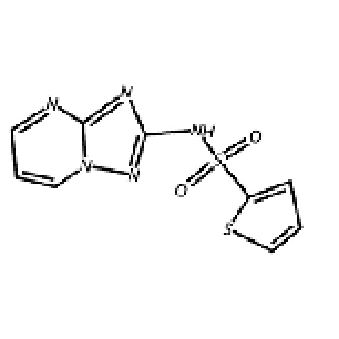 O=S(=O)(Nc1nc2ncccn2n1)c1cccs1